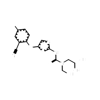 CCN(C[C@H](C)O)C(=O)Nc1ncc(Oc2ccc(F)cc2C#N)s1